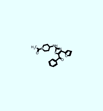 CC(=O)N1CCC(Nc2nc(-c3ccco3)c(C(=O)c3ccccc3)s2)CC1